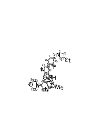 CCC1CCN(Cc2ccc(-c3cncc(NS(=O)(=O)c4cc(N5CCOCC5)cnc4OC)c3)c(F)c2)C1